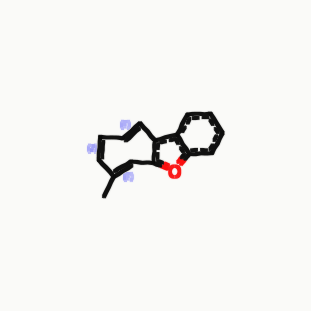 CC1=C\c2oc3ccccc3c2/C=C/C=C\1